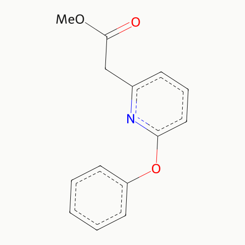 COC(=O)Cc1cccc(Oc2ccccc2)n1